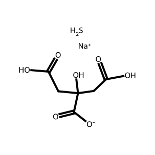 O=C(O)CC(O)(CC(=O)O)C(=O)[O-].S.[Na+]